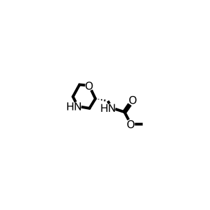 COC(=O)NC[C@@H]1CNCCO1